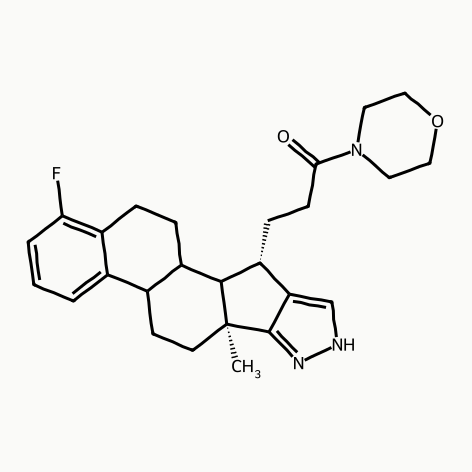 C[C@]12CCC3c4cccc(F)c4CCC3C1[C@H](CCC(=O)N1CCOCC1)c1c[nH]nc12